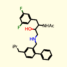 CC(=O)NC(Cc1cc(F)cc(F)c1)C(O)CNCc1cc(CC(C)C)ccc1-c1ccccc1